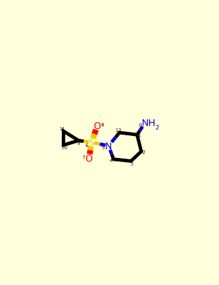 NC1CCCN(S(=O)(=O)C2CC2)C1